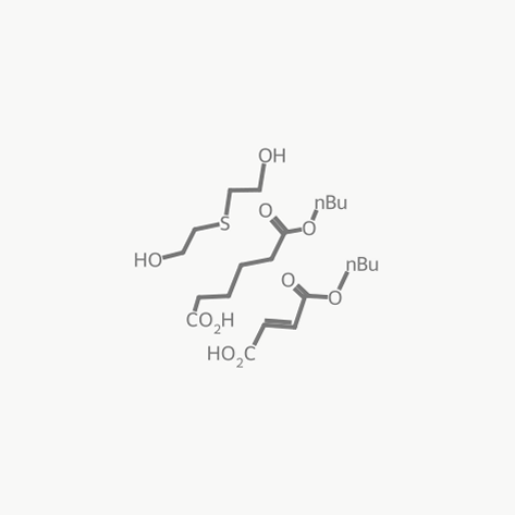 CCCCOC(=O)C=CC(=O)O.CCCCOC(=O)CCCCC(=O)O.OCCSCCO